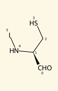 O=C[C@H](CS)NI